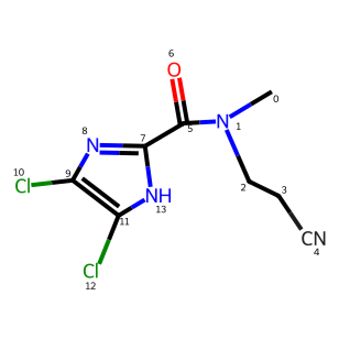 CN(CCC#N)C(=O)c1nc(Cl)c(Cl)[nH]1